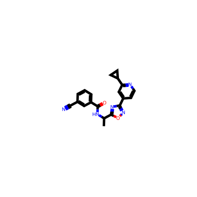 CC(NC(=O)c1cccc(C#N)c1)c1nc(-c2ccnc(C3CC3)c2)no1